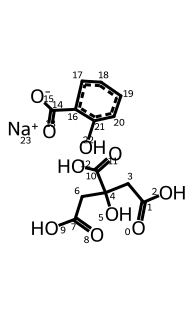 O=C(O)CC(O)(CC(=O)O)C(=O)O.O=C([O-])c1ccccc1O.[Na+]